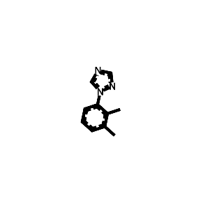 Cc1cccc(-n2cncn2)c1C